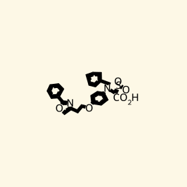 O=C(O)C(N(Cc1ccccc1)c1ccc(OCCc2coc(-c3ccccc3)n2)cc1)=S(=O)=O